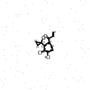 C=CC(=O)c1ccc(Cl)c(Cl)c1C1(Cl)CC1